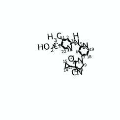 Cc1cc(Nc2cc(N3CC[C@@](C#N)(C4CC4)C3=O)ccn2)ncc1C(=O)O